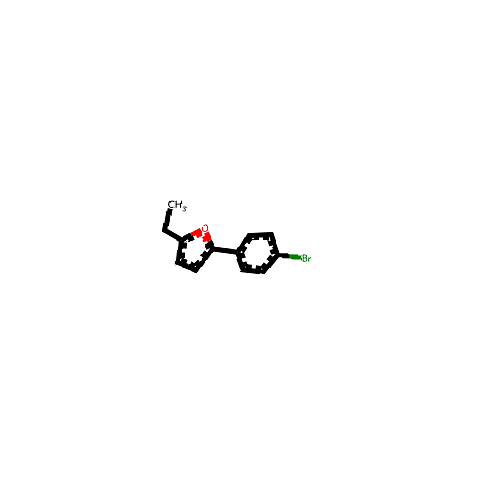 CCc1ccc(-c2ccc(Br)cc2)o1